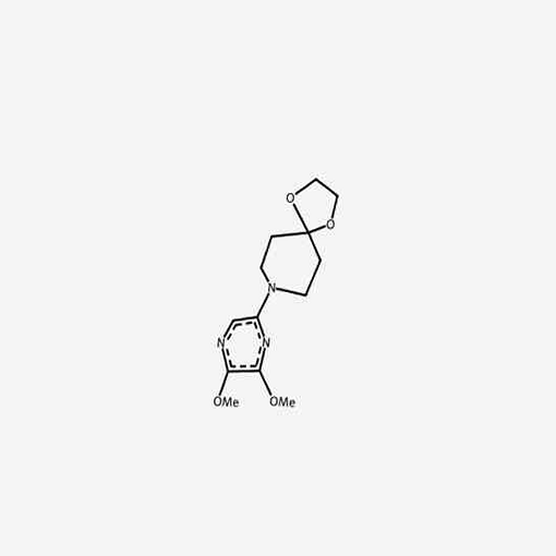 COc1ncc(N2CCC3(CC2)OCCO3)nc1OC